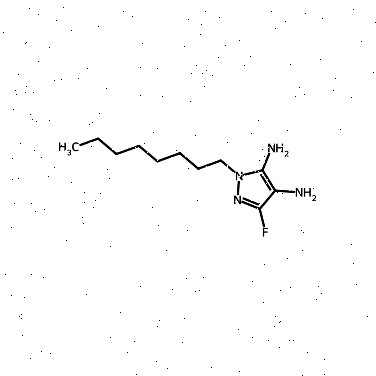 CCCCCCCCn1nc(F)c(N)c1N